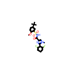 COc1ccc(C(C)(C)C)cc1S(=O)(=O)NC(=O)c1cn(C)c(-c2c(F)cccc2F)n1